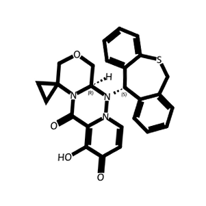 O=C1c2c(O)c(=O)ccn2N([C@H]2c3ccccc3CSc3ccccc32)[C@@H]2COCC3(CC3)N12